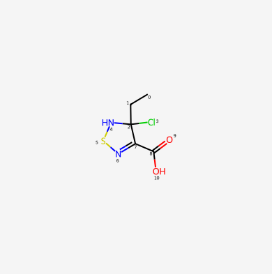 CCC1(Cl)NSN=C1C(=O)O